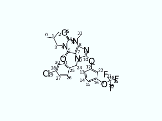 CC(C)Cn1c(=O)c2c(nc(Oc3cccc(OC(F)(F)F)c3)n2Cc2ccc(Cl)cc2)n(C)c1=O